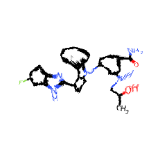 CC(O)CNc1cc(-n2c3ccccc3c3c(-c4nc5ccc(F)cc5[nH]4)cccc32)ccc1C(N)=O